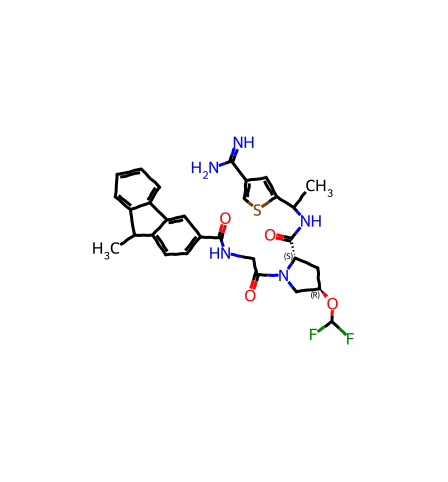 CC(NC(=O)[C@@H]1C[C@@H](OC(F)F)CN1C(=O)CNC(=O)c1ccc2c(c1)-c1ccccc1C2C)c1cc(C(=N)N)cs1